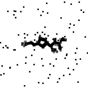 C[C@@H](N[S@@+]([O-])C(C)(C)C)c1cnn(CCC(F)(F)F)c1